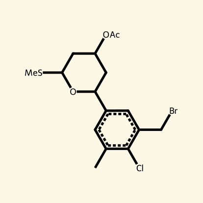 CSC1CC(OC(C)=O)CC(c2cc(C)c(Cl)c(CBr)c2)O1